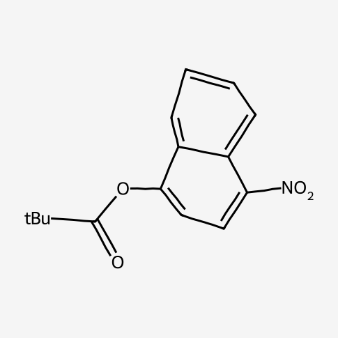 CC(C)(C)C(=O)Oc1ccc([N+](=O)[O-])c2ccccc12